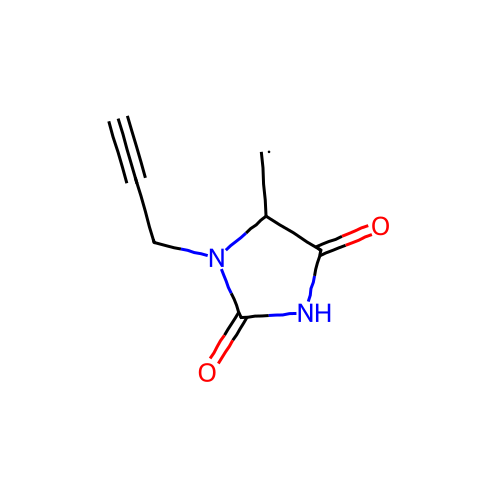 C#CCN1C(=O)NC(=O)C1[CH2]